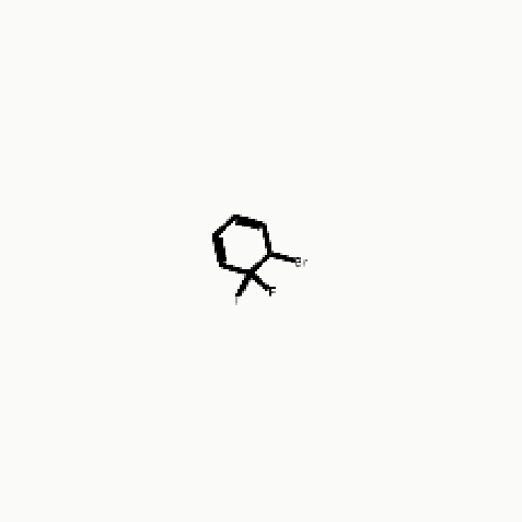 FC1(I)C=CC=CC1Br